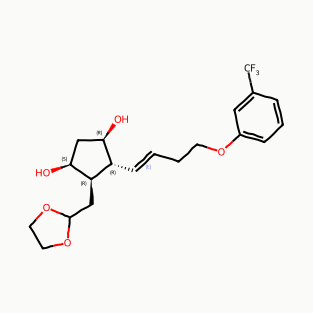 O[C@@H]1C[C@H](O)[C@H](CC2OCCO2)[C@H]1/C=C/CCOc1cccc(C(F)(F)F)c1